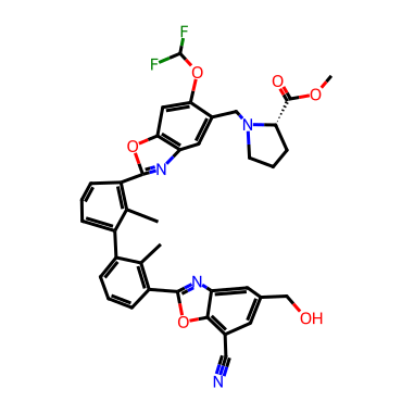 COC(=O)[C@@H]1CCCN1Cc1cc2nc(-c3cccc(-c4cccc(-c5nc6cc(CO)cc(C#N)c6o5)c4C)c3C)oc2cc1OC(F)F